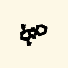 Brc1ccc(Br)c2c1=NC1(CCCCC1)N=2